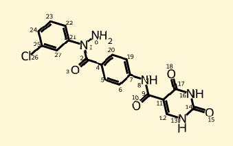 NN(C(=O)c1ccc(NC(=O)c2c[nH]c(=O)[nH]c2=O)cc1)c1cccc(Cl)c1